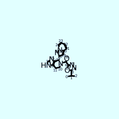 CC(C)c1nnc(C(=O)N2CCc3[nH]cnc3[C@@H]2c2cc3ccccn3n2)o1